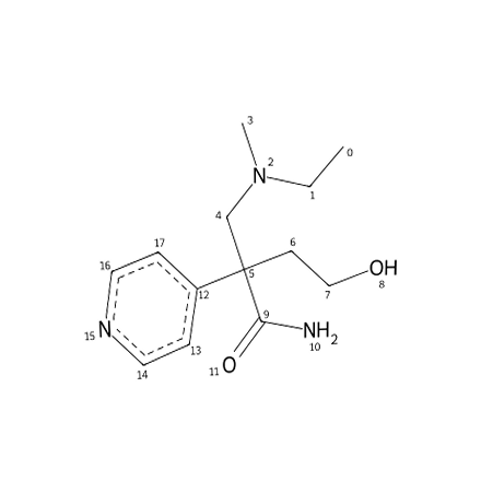 CCN(C)CC(CCO)(C(N)=O)c1ccncc1